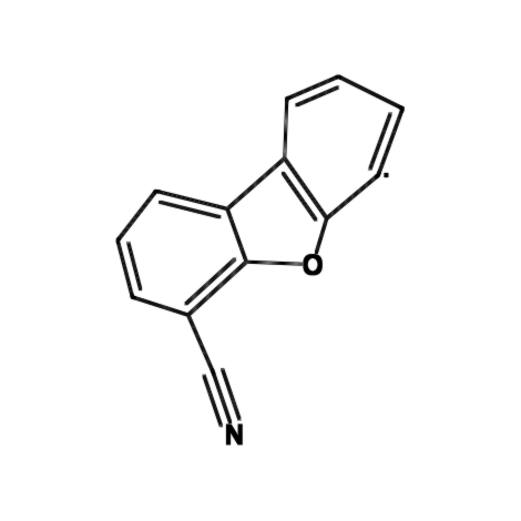 N#Cc1cccc2c1oc1[c]cccc12